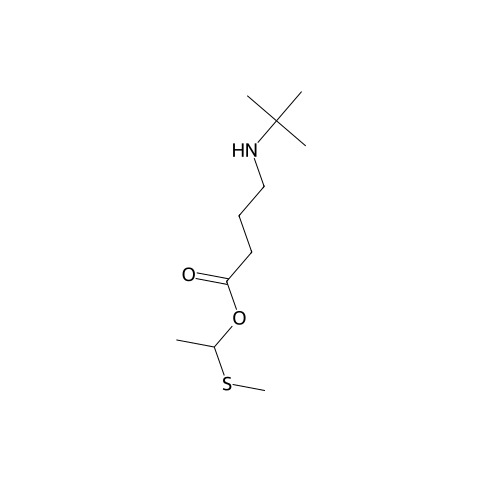 CSC(C)OC(=O)CCCNC(C)(C)C